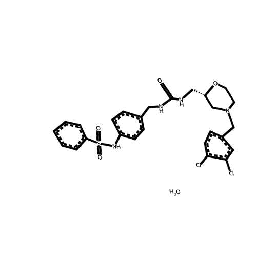 O.O=C(NCc1ccc(NS(=O)(=O)c2ccccc2)cc1)NC[C@H]1CN(Cc2ccc(Cl)c(Cl)c2)CCO1